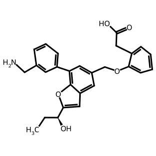 CC[C@H](O)c1cc2cc(COc3ccccc3CC(=O)O)cc(-c3cccc(CN)c3)c2o1